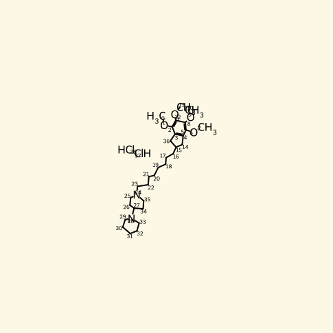 COc1c2c(c(OC)c(OC)c1OC)CC(CCCCCCCCN1CCC(N3CCCCC3)CC1)C2.Cl.Cl